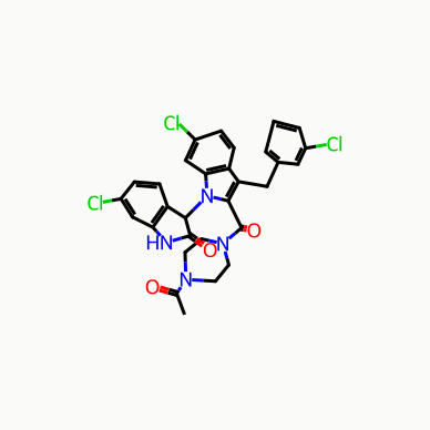 CC(=O)N1CCN(C(=O)c2c(Cc3cccc(Cl)c3)c3ccc(Cl)cc3n2C2C(=O)Nc3cc(Cl)ccc32)CC1